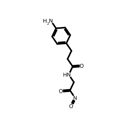 Nc1ccc(CCC(=O)NCC(=O)N=O)cc1